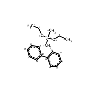 CCO[Si](C)(C)OCC.c1ccc(-c2ccccc2)cc1